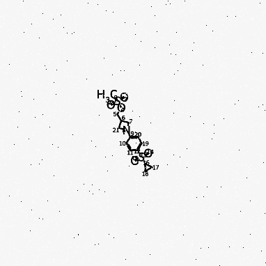 CS(=O)(=O)OCC1CN(c2ccc(S(=O)(=O)C3CC3)cc2)C1